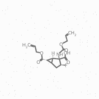 C=CCOC(=O)N[C@@]1(C(=O)O)[C@@H](F)CC2[C@H](C(=O)OCC=C)[C@H]21